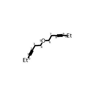 CCC#CCCOCCC#CCC